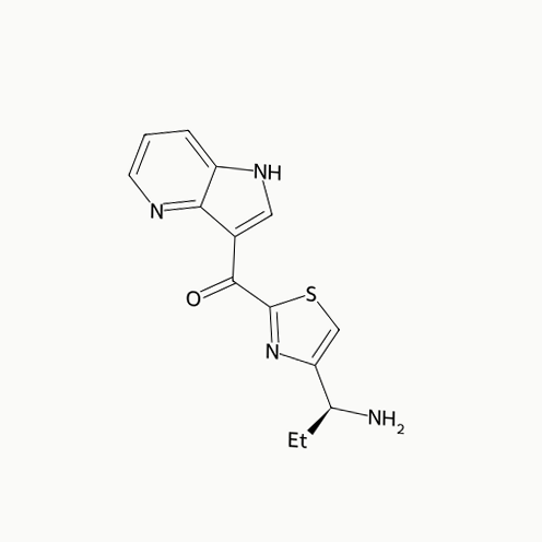 CC[C@H](N)c1csc(C(=O)c2c[nH]c3cccnc23)n1